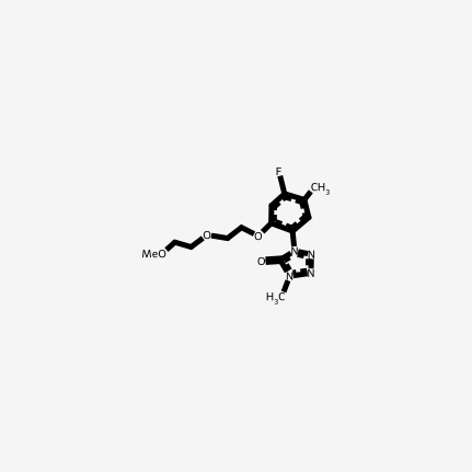 COCCOCCOc1cc(F)c(C)cc1-n1nnn(C)c1=O